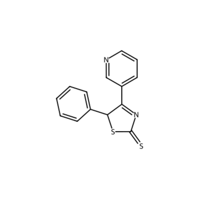 S=C1N=C(c2cccnc2)C(c2ccccc2)S1